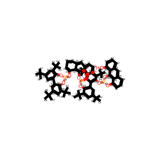 CC(C)(C)c1cc(-c2cc(C(C)(C)C)cc(C(C)(C)C)c2OP2Oc3cccc4cc5cccc(Op6oc7c(C(C)(C)C)cc(C(C)(C)C)cc7c7cc(C(C)(C)C)cc(C(C)(C)C)c7o6)c5c(c34)O2)c(OP2Oc3cccc4cc5cccc(O)c5c(c34)O2)c(C(C)(C)C)c1